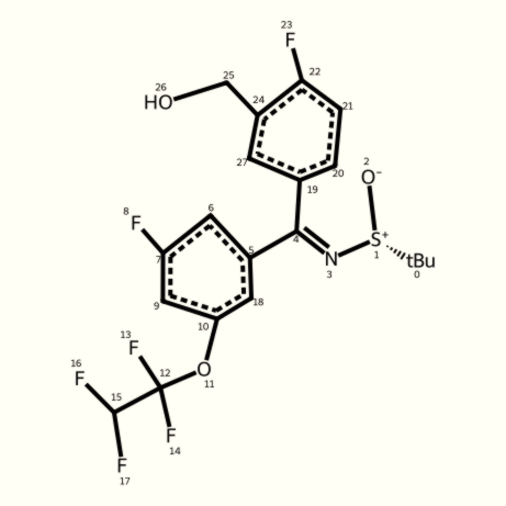 CC(C)(C)[S@@+]([O-])/N=C(/c1cc(F)cc(OC(F)(F)C(F)F)c1)c1ccc(F)c(CO)c1